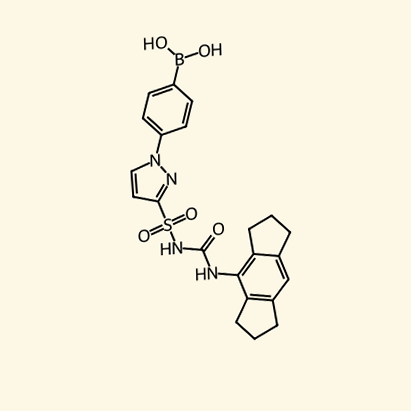 O=C(Nc1c2c(cc3c1CCC3)CCC2)NS(=O)(=O)c1ccn(-c2ccc(B(O)O)cc2)n1